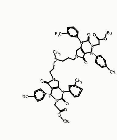 CN(CCCN1CC2=C(C1=O)[C@@H](c1ccc(C#N)cc1)N(CC(=O)OC(C)(C)C)C(=O)N2c1cccc(C(F)(F)F)c1)CCCN1CC2=C(C1=O)[C@@H](c1ccc(C#N)cc1)N(CC(=O)OC(C)(C)C)C(=O)N2c1cccc(C(F)(F)F)c1